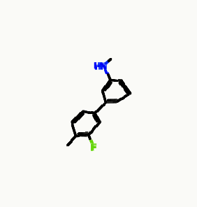 CNc1cccc(-c2ccc(C)c(F)c2)c1